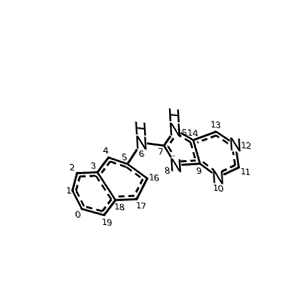 c1ccc2cc(Nc3nc4ncncc4[nH]3)ccc2c1